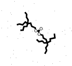 CCCCC(CCCC)(CCCC)CCCOC(=O)OCCCC(CCCC)(CCCC)CCCC